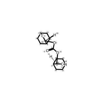 O=C(O[C@H]1CN2CCC1CC2)O[C@H]1CN2CCC1CC2